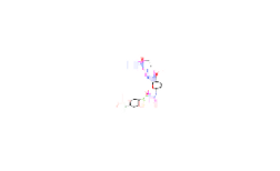 Bc1cc(C(F)(F)C(=O)N(B)Cc2ccc3c(c2)CN(C2CCC(=O)NC2=O)C3=O)c(B)cc1Cl